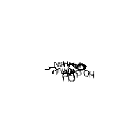 CC[C@H](C)[C@H](N)C(=O)NC[C@H]1C[C@@]23CC[C@]1(OC)[C@@H]1Oc4c(O)ccc5c4[C@@]12CCN[C@@H]3C5